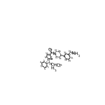 CC(c1ccccc1)c1ccc(C(=O)N2CCC(c3cccc(CN)c3)CC2)s1.Cl